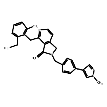 C=C1c2c(ccnc2Cc2c(C)cccc2CC)CN1Cc1ccc(-c2cnn(C)c2)cc1